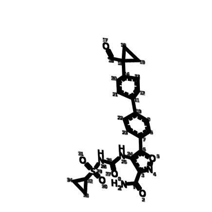 NC(=O)c1noc(-c2ccc(-c3ccc(C4([C]=O)CC4)cc3)cc2)c1NC(=O)NS(=O)(=O)C1CC1